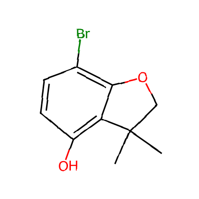 CC1(C)COc2c(Br)ccc(O)c21